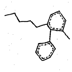 CCCCCc1cccc(C)c1-c1ccccc1